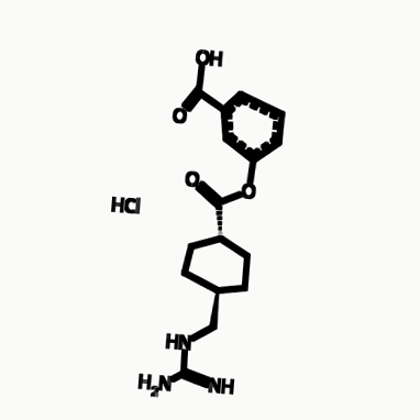 Cl.N=C(N)NC[C@H]1CC[C@H](C(=O)Oc2cccc(C(=O)O)c2)CC1